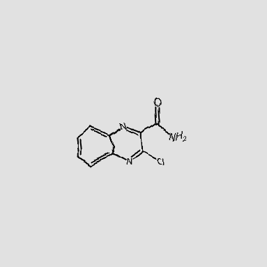 NC(=O)c1nc2ccccc2nc1Cl